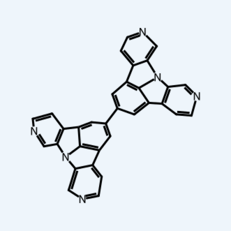 c1cc2c3cc(-c4cc5c6ccncc6n6c7cnccc7c(c4)c56)cc4c5ccncc5n(c2cn1)c34